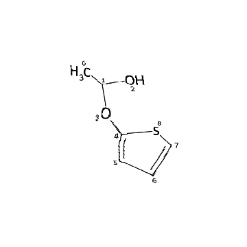 CC(O)Oc1cccs1